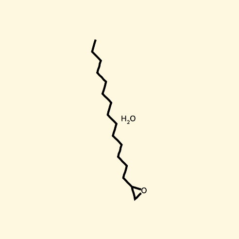 CCCCCCCCCCCCCCC1CO1.O